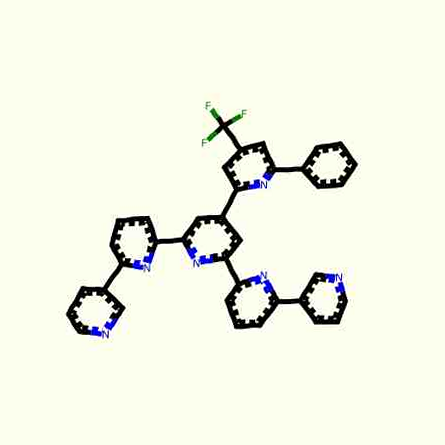 FC(F)(F)c1cc(-c2ccccc2)nc(-c2cc(-c3cccc(-c4cccnc4)n3)nc(-c3cccc(-c4cccnc4)n3)c2)c1